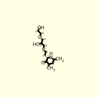 CC1CC(C)C(=O)[C@H](CCSCC(O)COCCO)N1